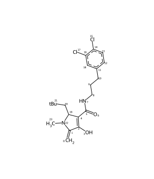 C=C1C(O)=C(C(=O)NCCCc2ccc(Cl)c(Cl)c2)C(CC(C)(C)C)N1C